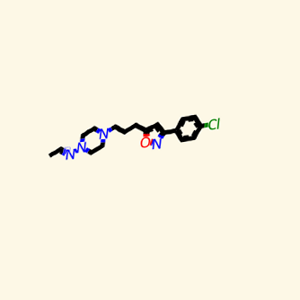 C/C=N/N1CCN(CCCc2cc(-c3ccc(Cl)cc3)no2)CC1